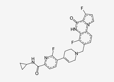 O=C(NC1CC1)c1ccc(C2=CCN(Cc3ccc4c([nH]c(=O)c5c(F)ccn54)c3F)CC2)c(F)n1